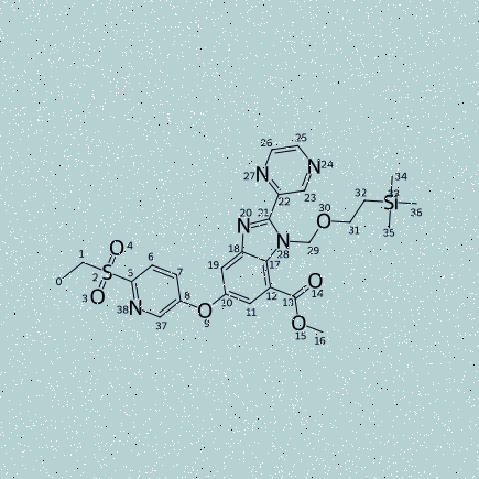 CCS(=O)(=O)c1ccc(Oc2cc(C(=O)OC)c3c(c2)nc(-c2cnccn2)n3COCC[Si](C)(C)C)cn1